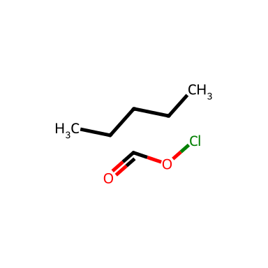 CCCCC.O=COCl